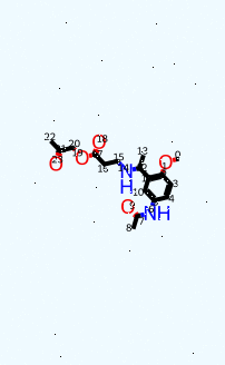 COc1ccc(NC(C)=O)cc1C(C)NCCC(=O)OCC(C)=O